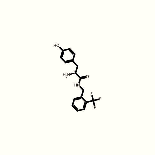 N[C@@H](Cc1ccc(O)cc1)C(=O)NCc1ccccc1C(F)(F)F